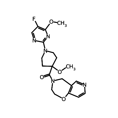 COc1nc(N2CCC(OC)(C(=O)N3CCOc4ccncc4C3)CC2)ncc1F